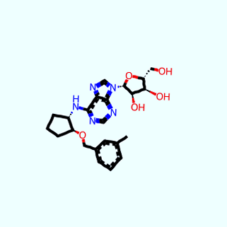 Cc1cccc(CO[C@H]2CCC[C@@H]2Nc2ncnc3c2ncn3[C@@H]2O[C@H](CO)[C@@H](O)[C@H]2O)c1